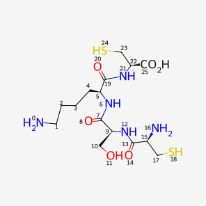 NCCCC[C@H](NC(=O)[C@H](CO)NC(=O)[C@@H](N)CS)C(=O)N[C@@H](CS)C(=O)O